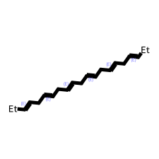 [CH2]C/C=C/C/C=C/C/C=C/C/C=C/C/C=C/C/C=C/CC